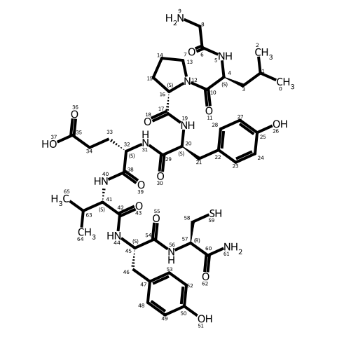 CC(C)C[C@H](NC(=O)CN)C(=O)N1CCC[C@H]1C(=O)N[C@@H](Cc1ccc(O)cc1)C(=O)N[C@@H](CCC(=O)O)C(=O)N[C@H](C(=O)N[C@@H](Cc1ccc(O)cc1)C(=O)N[C@@H](CS)C(N)=O)C(C)C